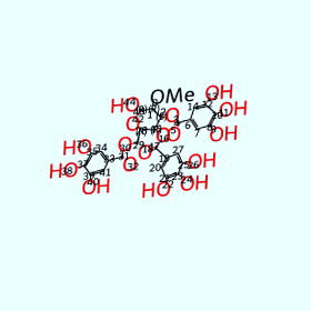 CO[C@@H]1[C@@H](OC(=O)c2cc(O)c(O)c(O)c2)[C@H](OC(=O)c2cc(O)c(O)c(O)c2)[C@@H](COC(=O)c2cc(O)c(O)c(O)c2)O[C@H]1O